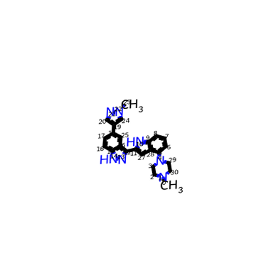 CN1CCN(c2cccc3[nH]c(-c4n[nH]c5ccc(-c6cnn(C)c6)cc45)cc23)CC1